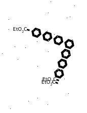 CCOC(C)=O.CCOC(C)=O.CCOC(C)=O.c1ccccc1.c1ccccc1.c1ccccc1.c1ccccc1.c1ccccc1.c1ccccc1.c1ccccc1